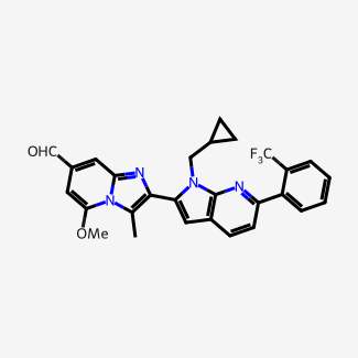 COc1cc(C=O)cc2nc(-c3cc4ccc(-c5ccccc5C(F)(F)F)nc4n3CC3CC3)c(C)n12